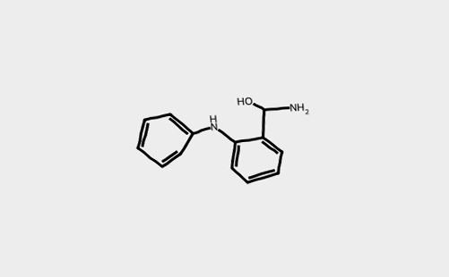 NC(O)c1ccccc1Nc1ccccc1